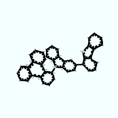 c1ccc2c(c1)oc1c(-c3ccc4c(c3)c3ccccc3n4-c3cccc4c5ccccc5c5ccccc5c34)cccc12